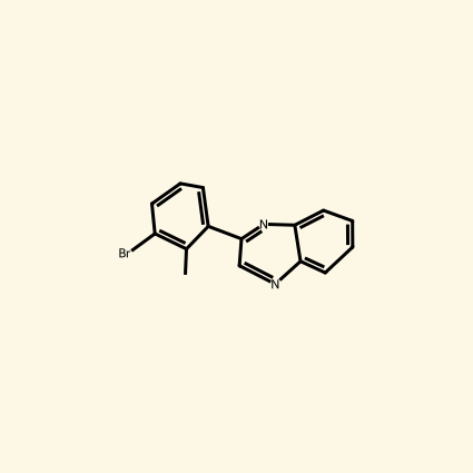 Cc1c(Br)cccc1-c1cnc2ccccc2n1